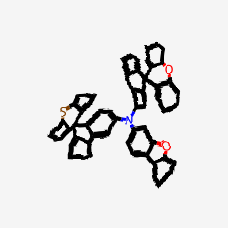 c1ccc2c(c1)Oc1ccccc1C21c2ccccc2-c2cc(N(c3ccc4c(c3)-c3ccccc3C43c4ccccc4Sc4ccccc43)c3ccc4c(c3)oc3ccccc34)ccc21